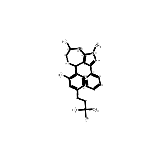 Cc1cc(CCC(C)(C)O)ccc1C1SCC(C)Nc2c1c(-c1ccccn1)nn2C